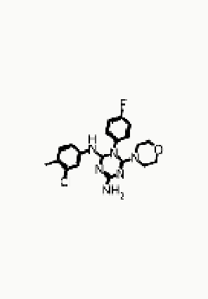 Cc1ccc(NC2N=C(N)N=C(N3CCOCC3)N2c2ccc(F)cc2)cc1Cl